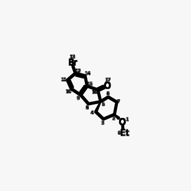 CCO[C@H]1CC[C@@]2(CC1)Cc1ccc(Br)cc1C2=O